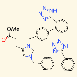 COC(=O)CCC1=CN(Cc2ccc(-c3ccccc3-c3nnn[nH]3)cc2)CN1Cc1ccc(-c2ccccc2-c2nnn[nH]2)cc1